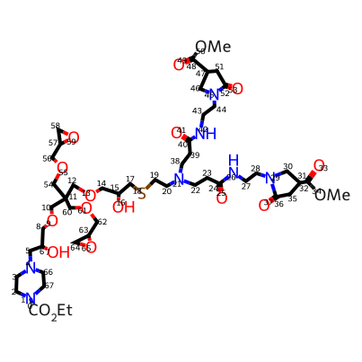 CCOC(=O)N1CCN(CC(O)COCC(COCC(O)CSCCN(CCC(=O)NCCN2CC(C(=O)OC)CC2=O)CCC(=O)NCCN2CC(C(=O)OC)CC2=O)(COCC2CO2)COCC2CO2)CC1